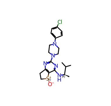 CC(C)[C@@H](C)Nc1nc(N2CCN(c3ccc(Cl)cc3)CC2)nc2c1[S@+]([O-])CC2